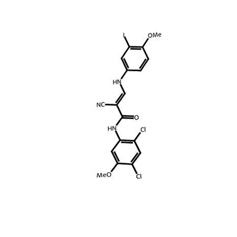 COc1cc(NC(=O)/C(C#N)=C/Nc2ccc(OC)c(I)c2)c(Cl)cc1Cl